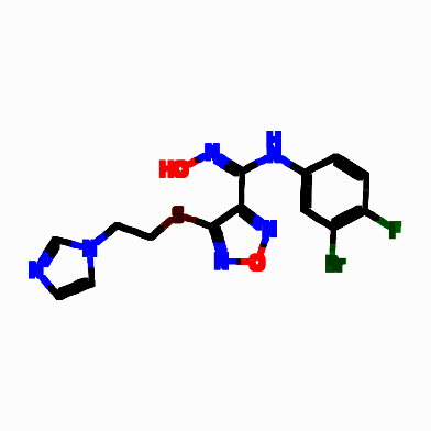 O/N=C(/Nc1ccc(F)c(Br)c1)c1nonc1SCCn1ccnc1